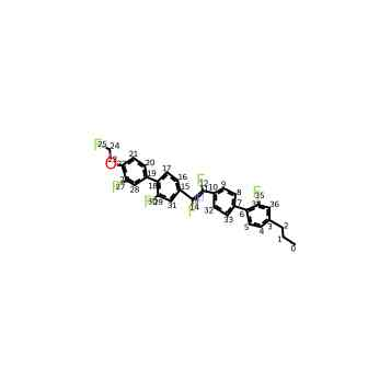 CCCc1ccc(-c2ccc(/C(F)=C(\F)c3ccc(-c4ccc(OCF)c(F)c4)c(F)c3)cc2)c(F)c1